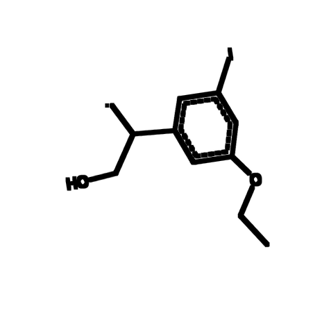 [CH2]C(CO)c1cc(I)cc(OCC)c1